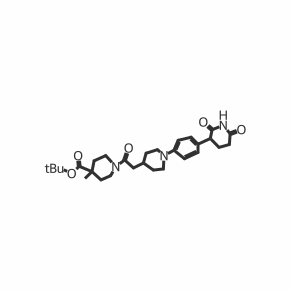 CC(C)(C)OC(=O)C1(C)CCN(C(=O)CC2CCN(c3ccc(C4CCC(=O)NC4=O)cc3)CC2)CC1